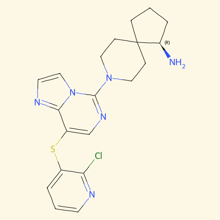 N[C@@H]1CCCC12CCN(c1ncc(Sc3cccnc3Cl)c3nccn13)CC2